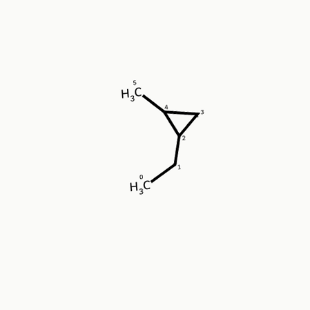 CCC1[CH]C1C